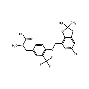 C[C@H](Cc1ccc(OCc2cc(Cl)cc3c2OC(C)(C)C3)c(C(F)(F)F)c1)C(=O)O